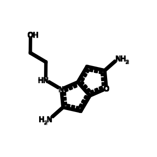 Nc1cc2c(cc(N)n2NCCO)o1